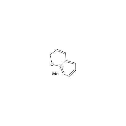 C1=Cc2ccccc2OC1.[Mo]